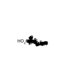 CC1(C)COC[C@H]1n1c(Cc2c(F)cc(-c3cccc(OCc4ccc(-n5ccnn5)cc4F)n3)c(F)c2F)nc2c(F)cc(C(=O)O)cc21